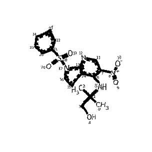 CC(C)(CO)Nc1c([N+](=O)[O-])cnc2c1ccn2S(=O)(=O)c1ccccc1